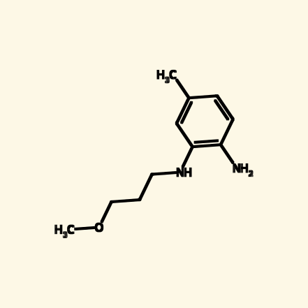 COCCCNc1cc(C)ccc1N